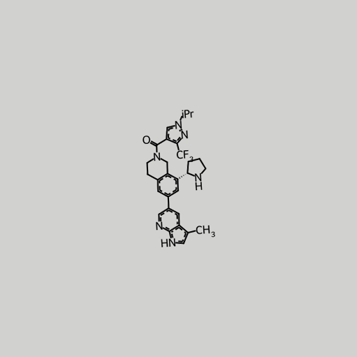 Cc1c[nH]c2ncc(-c3cc4c(c([C@@H]5CCCN5)c3)CN(C(=O)c3cn(C(C)C)nc3C(F)(F)F)CC4)cc12